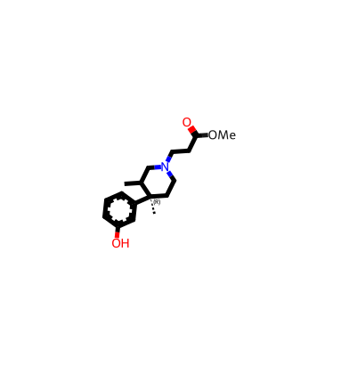 COC(=O)CCN1CC[C@@](C)(c2cccc(O)c2)C(C)C1